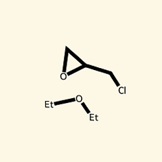 CCOCC.ClCC1CO1